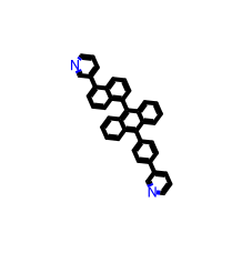 c1cncc(-c2ccc(-c3c4ccccc4c(-c4cccc5c(-c6cccnc6)cccc45)c4ccccc34)cc2)c1